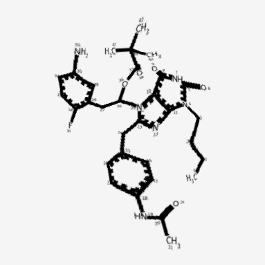 CCCCn1c(=O)[nH]c(=O)c2c1nc(Cc1ccc(NC(C)=O)cc1)n2C(Cc1cc(N)ccc1F)OC(=O)C(C)(C)C